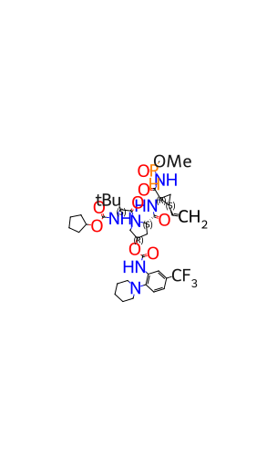 C=C[C@@H]1C[C@]1(NC(=O)[C@@H]1C[C@@H](OC(=O)Nc2cc(C(F)(F)F)ccc2N2CCCCC2)CN1C(=O)[C@@H](NC(=O)OC1CCCC1)C(C)(C)C)C(=O)N[PH](=O)OC